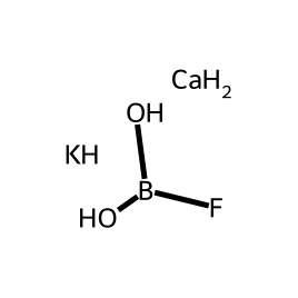 OB(O)F.[CaH2].[KH]